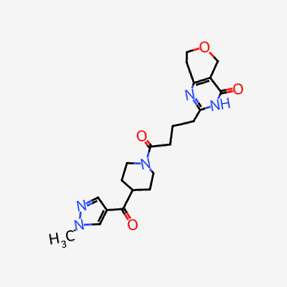 Cn1cc(C(=O)C2CCN(C(=O)CCCc3nc4c(c(=O)[nH]3)COCC4)CC2)cn1